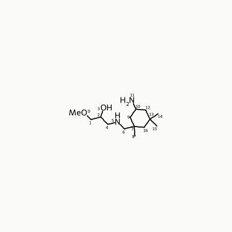 COCC(O)CNCC1(C)CC(N)CC(C)(C)C1